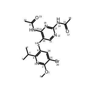 COc1nc(C(C)C)c(Sc2cnc(NC(C)=O)nc2NC(C)=O)cc1Br